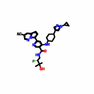 CC(C)(O)[C@H](F)CNC(=O)c1cnc(-c2ccc3cc(C#N)cnn23)cc1NC1CCC(c2cnn(C3CC3)c2)CC1